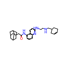 O=C(CC12CC3CC(CC(C3)C1)C2)Nc1cccc2nc(NCCNCC3CC=CCC3)ccc12